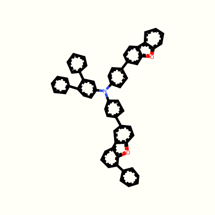 c1ccc(-c2ccc(N(c3ccc(-c4ccc5c(c4)oc4ccccc45)cc3)c3ccc(-c4ccc5oc6c(-c7ccccc7)cccc6c5c4)cc3)cc2-c2ccccc2)cc1